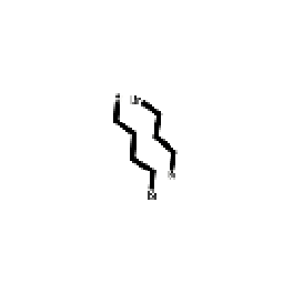 BrCCCBr.BrCCCCBr